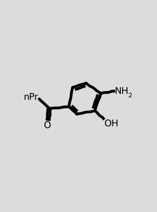 CCCC(=O)c1ccc(N)c(O)c1